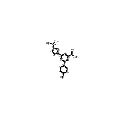 O=C(O)c1cc(-c2ccc(F)cc2)nc(-c2ccn(C(F)F)n2)n1